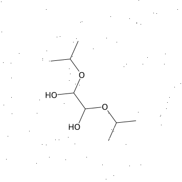 CC(C)OC(O)C(O)OC(C)C